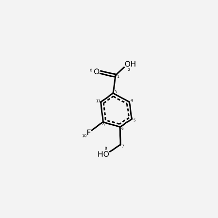 O=C(O)c1ccc(CO)c(F)c1